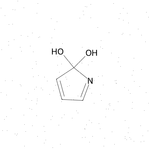 OC1(O)C=CC=N1